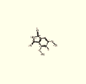 CCSc1cc2c(c(SCC)c1C)C(=O)NC2=O